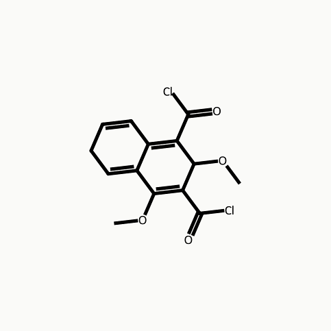 COC1=C(C(=O)Cl)C(OC)C(C(=O)Cl)=C2C=CCC=C21